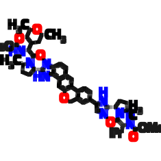 COC(=O)N[C@H](C(=O)N1[C@@H](C)CC[C@H]1c1ncc(-c2ccc3c(c2)COc2cc4c(ccc5nc([C@@H]6CC[C@H](C)N6C(=O)[C@H](NC(=O)OC)C6C[C@@H](C)O[C@H](C)C6)[nH]c54)cc2-3)[nH]1)C(C)C